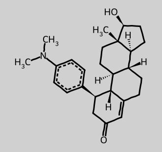 CN(C)c1ccc([C@@H]2CC(=O)C=C3CC[C@@H]4[C@H](CC[C@]5(C)[C@@H](O)CC[C@@H]45)[C@H]32)cc1